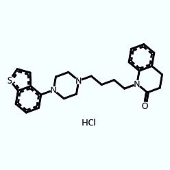 Cl.O=C1CCc2ccccc2N1CCCCN1CCN(c2cccc3sccc23)CC1